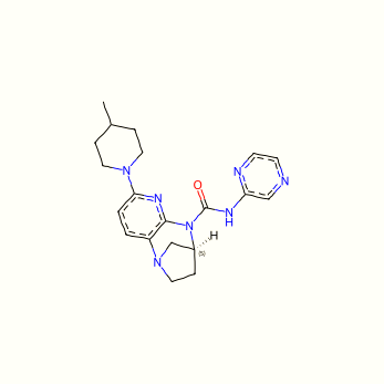 CC1CCN(c2ccc3c(n2)N(C(=O)Nc2cnccn2)[C@H]2CCN3C2)CC1